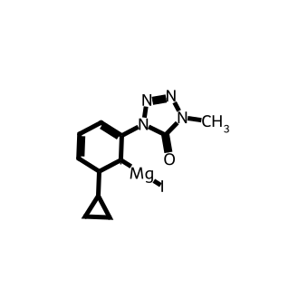 Cn1nnn(C2=CC=CC(C3CC3)[C]2[Mg][I])c1=O